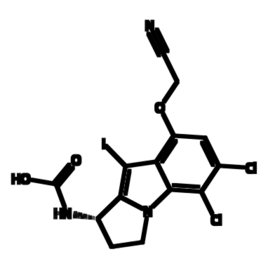 N#CCOc1cc(Cl)c(Cl)c2c1c(I)c1n2CC[C@@H]1NC(=O)O